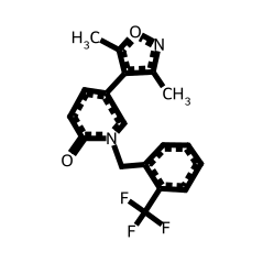 Cc1noc(C)c1-c1ccc(=O)n(Cc2ccccc2C(F)(F)F)c1